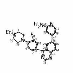 CCN1CCN(c2ccc(-c3ncnc4ccc(-c5ccnc(N)c5)cc34)cc2F)CC1